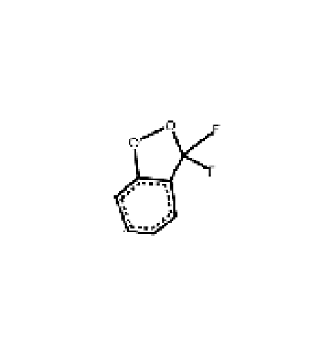 FC1(F)OOc2c[c]ccc21